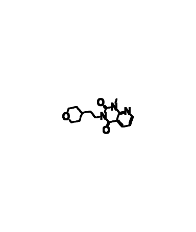 Cn1c(=O)n(CCC2CCOCC2)c(=O)c2cccnc21